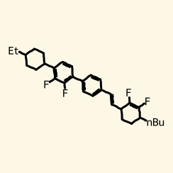 CCCCC1CCC(/C=C/c2ccc(-c3ccc(C4CCC(CC)CC4)c(F)c3F)cc2)C(F)=C1F